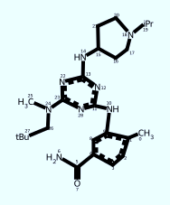 Cc1ccc(C(N)=O)cc1Nc1nc(NC2CCN(C(C)C)CC2)nc(N(C)CC(C)(C)C)n1